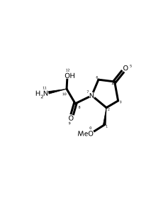 COC[C@@H]1CC(=O)CN1C(=O)[C@@H](N)O